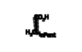 CCCCC/C=C/CC(C)CCCCCCCCC(=O)O